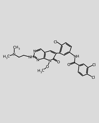 COn1c(=O)c(-c2cc(NC(=O)c3ccc(Cl)c(Cl)c3)ccc2Cl)cc2cnc(NCCN(C)C)nc21